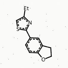 CCc1csc(-c2ccc3c(c2)CCO3)n1